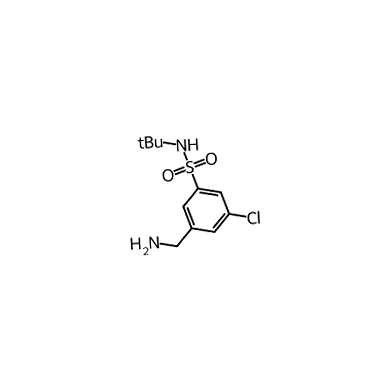 CC(C)(C)NS(=O)(=O)c1cc(Cl)cc(CN)c1